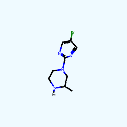 CC(=O)N1CCN(c2ncc(Br)cn2)CC1C